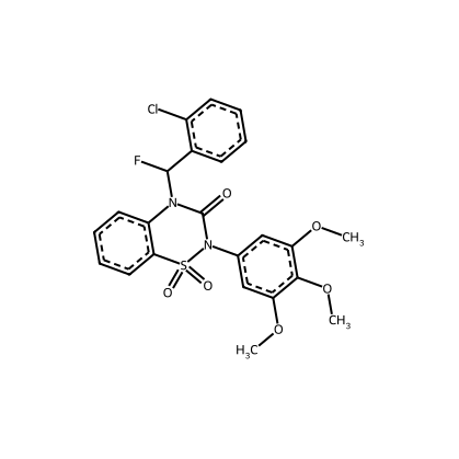 COc1cc(N2C(=O)N(C(F)c3ccccc3Cl)c3ccccc3S2(=O)=O)cc(OC)c1OC